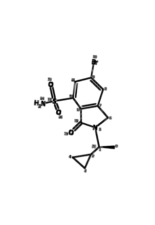 C[C@@H](C1CC1)N1Cc2cc(Br)cc(S(N)(=O)=O)c2C1=O